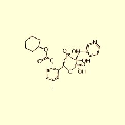 Cc1ccc(OC(=O)OC2CCCCC2)c(C2OP(=O)(O)C(O)(Cc3cccnc3)P(=O)(O)O2)c1